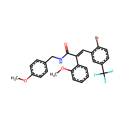 COc1ccc(CNC(=O)C(=Cc2cc(C(F)(F)F)ccc2Br)c2ccccc2OC)cc1